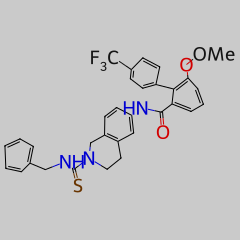 COOc1cccc(C(=O)Nc2ccc3c(c2)CCN(C(=S)NCc2ccccc2)C3)c1-c1ccc(C(F)(F)F)cc1